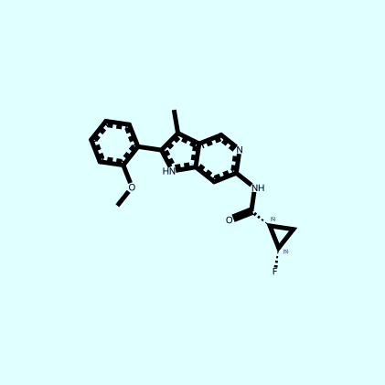 COc1ccccc1-c1[nH]c2cc(NC(=O)[C@@H]3C[C@@H]3F)ncc2c1C